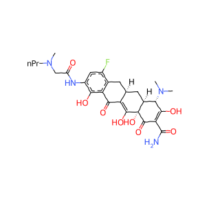 CCCN(C)CC(=O)Nc1cc(F)c2c(c1O)C(=O)C1=C(O)[C@]3(O)C(=O)C(C(N)=O)=C(O)[C@@H](N(C)C)[C@@H]3C[C@@H]1C2